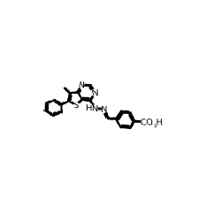 Cc1c(-c2ccccc2)sc2c(NN=Cc3ccc(C(=O)O)cc3)ncnc12